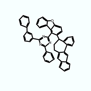 c1ccc(-c2cccc(-c3nc(-c4ccccc4)nc(-c4c(C5CCc6cc7ccccc7cc6-c6ccccc65)ccc5oc6ccccc6c45)n3)c2)cc1